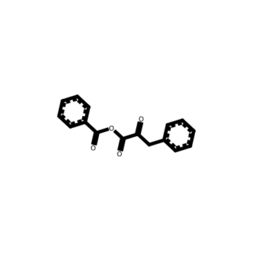 O=C(Cc1ccccc1)C(=O)OC(=O)c1ccccc1